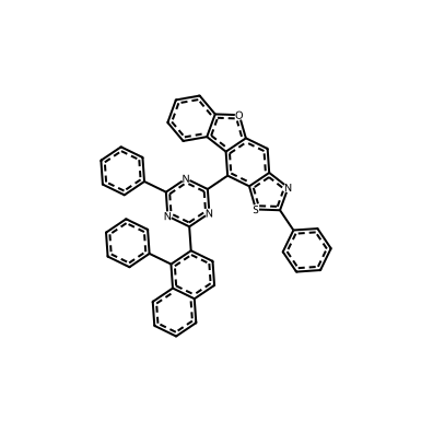 c1ccc(-c2nc(-c3ccc4ccccc4c3-c3ccccc3)nc(-c3c4sc(-c5ccccc5)nc4cc4oc5ccccc5c34)n2)cc1